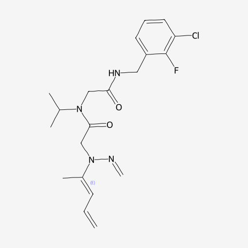 C=C/C=C(\C)N(CC(=O)N(CC(=O)NCc1cccc(Cl)c1F)C(C)C)N=C